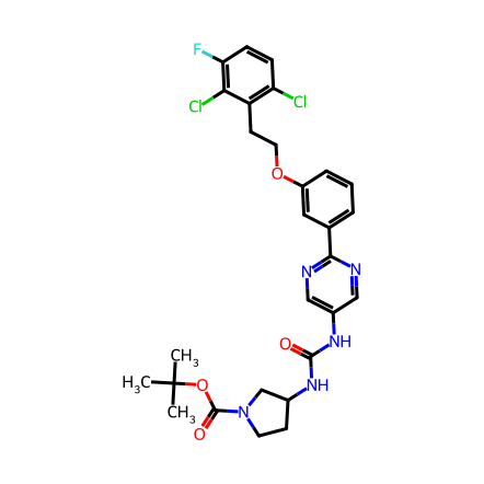 CC(C)(C)OC(=O)N1CCC(NC(=O)Nc2cnc(-c3cccc(OCCc4c(Cl)ccc(F)c4Cl)c3)nc2)C1